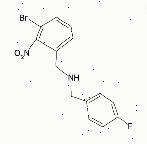 O=[N+]([O-])c1c(Br)cccc1CNCc1ccc(F)cc1